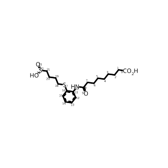 O=C(O)CCCCCCCC(=O)Nc1ccccc1SCCCCS(=O)O